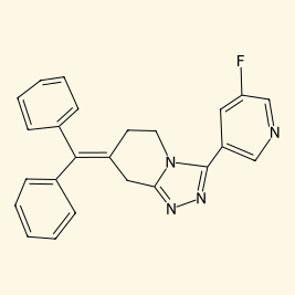 Fc1cncc(-c2nnc3n2CCC(=C(c2ccccc2)c2ccccc2)C3)c1